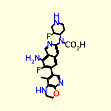 Cc1c(-c2cc3cc(N(C(=O)O)[C@@H]4CCNC[C@@H]4F)ncc3c(N)c2F)cnc2c1NCCO2